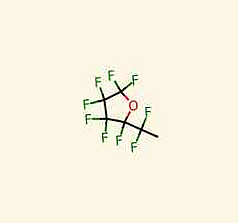 CC(F)(F)C1(F)OC(F)(F)C(F)(F)C1(F)F